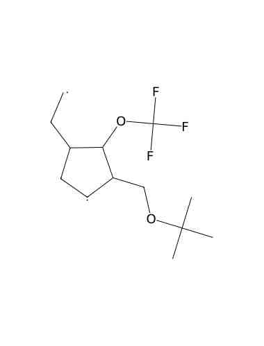 [CH2]CC1C[CH]C(COC(C)(C)C)C1OC(F)(F)F